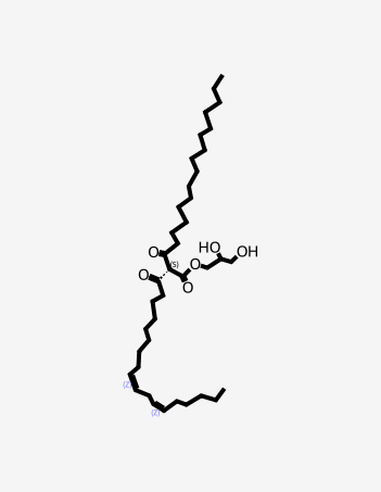 CCCCC/C=C\C/C=C\CCCCCCCC(=O)[C@H](C(=O)CCCCCCCCCCCCCCC)C(=O)OCC(O)CO